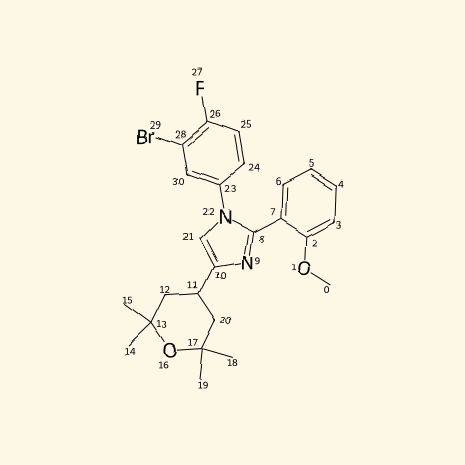 COc1ccccc1-c1nc(C2CC(C)(C)OC(C)(C)C2)cn1-c1ccc(F)c(Br)c1